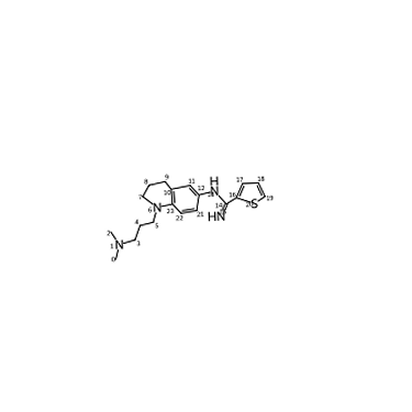 CN(C)CCCN1CCCc2cc(NC(=N)c3cccs3)ccc21